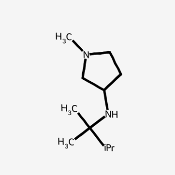 CC(C)C(C)(C)NC1CCN(C)C1